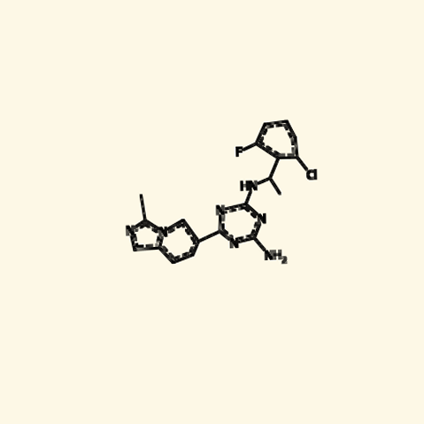 Cc1ncc2ccc(-c3nc(N)nc(NC(C)c4c(F)cccc4Cl)n3)cn12